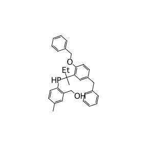 CCC(C)(Pc1ccc(C)cc1CO)c1cc(Cc2ccccc2)ccc1OCc1ccccc1